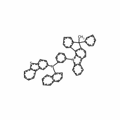 CC1(c2ccccc2)c2ccccc2-c2c1ccc1c3ccccc3n(-c3cccc(N(c4ccc5sc6ccccc6c5c4)c4cccc5ccccc45)c3)c21